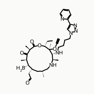 B[C@H]1[C@@H](CC=O)C[C@@H](C)CN[C@H](C)[C@@H](NCCCCn2cc(-c3ccccn3)nn2)[C@](C)(OC#C)[C@@H](CC)OC(=O)[C@H](C)C(=O)[C@@H]1C